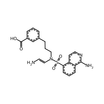 NC=CN(CCCc1cccc(C(=O)O)c1)S(=O)(=O)c1cccc2c(N)nccc12